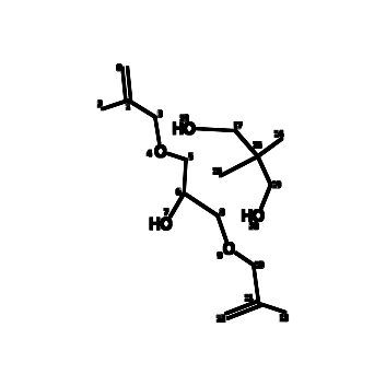 C=C(C)COCC(O)COCC(=C)C.CC(C)(CO)CO